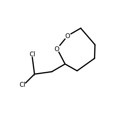 Cl[C](Cl)CC1CCCCOO1